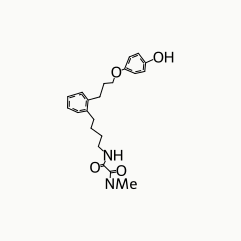 CNC(=O)C(=O)NCCCCc1ccccc1CCCOc1ccc(O)cc1